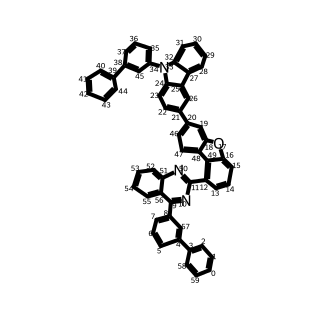 c1ccc(-c2cccc(-c3nc(-c4cccc5oc6cc(-c7ccc8c(c7)c7ccccc7n8-c7cccc(-c8ccccc8)c7)ccc6c45)nc4ccccc34)c2)cc1